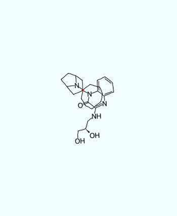 O=c1c(NC[C@@H](O)CO)nc2ccccc2n1C1CC2CCC(C1)N2C1CCCCCCC1